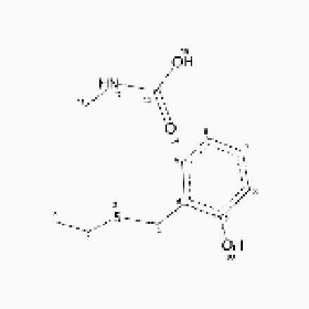 CCSCc1ccccc1O.CNC(=O)O